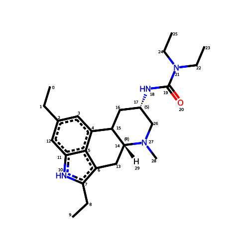 CCc1cc2c3c(c(CC)[nH]c3c1)C[C@@H]1C2C[C@H](NC(=O)N(CC)CC)CN1C